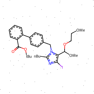 CCCCc1nc(I)c(C(OC)OCCOC)n1Cc1ccc(-c2ccccc2C(=O)OC(C)(C)C)cc1